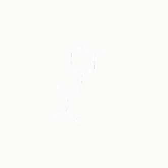 CC(=O)/C(C)=C/c1cccc(C)c1